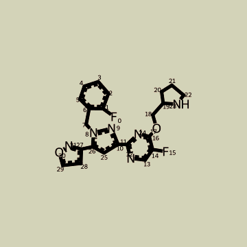 Fc1ccccc1Cn1nc(-c2ncc(F)c(OCC3CCCN3)n2)cc1-c1ccon1